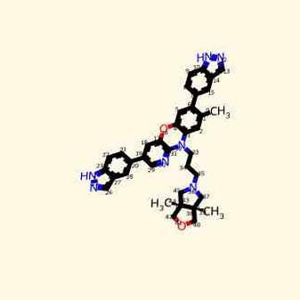 Cc1cc2c(cc1-c1ccc3[nH]ncc3c1)Oc1cc(-c3ccc4[nH]ncc4c3)cnc1N2CCCN1C[C@]2(C)COC[C@]2(C)C1